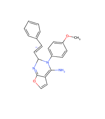 COc1ccc(N2C(N)=c3ccoc3=NC2/C=C/c2ccccc2)cc1